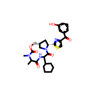 CC(C(=O)NC(C(=O)N1CCC[C@@H]1c1nc(C(=O)c2cccc(O)c2)cs1)C1CCCCC1)N(C)C(=O)OC(C)(C)C